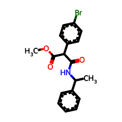 COC(=O)C(C(=O)NC(C)c1ccccc1)c1ccc(Br)cc1